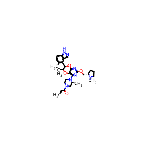 C=CC(=O)N1CCN(c2nc(OC[C@@H]3CCCN3C)nc3c2O[C@@H](C)C(c2c(C)ccc4[nH]ncc24)O3)[C@@H](C)C1